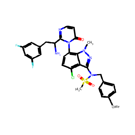 COc1ccc(CN(c2nn(C)c3c(-n4c(C(N)Cc5cc(F)cc(F)c5)nccc4=O)ccc(Cl)c23)S(C)(=O)=O)cc1